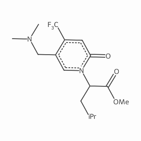 COC(=O)C(CC(C)C)n1cc(CN(C)C)c(C(F)(F)F)cc1=O